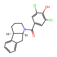 O=C(c1cc(Cl)c(O)c(Cl)c1)N1CCC[C@@H]2c3ccccc3C[C@@H]21